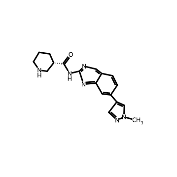 Cn1cc(-c2ccc3cnc(NC(=O)[C@H]4CCCNC4)nc3c2)cn1